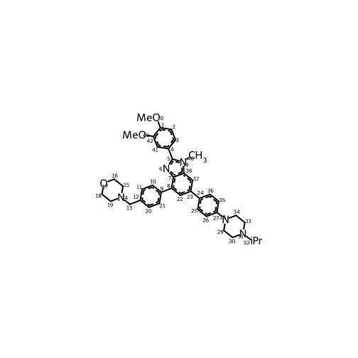 COc1ccc(-c2nc3c(-c4ccc(CN5CCOCC5)cc4)cc(-c4ccc(N5CCN(C(C)C)CC5)cc4)cc3n2C)cc1OC